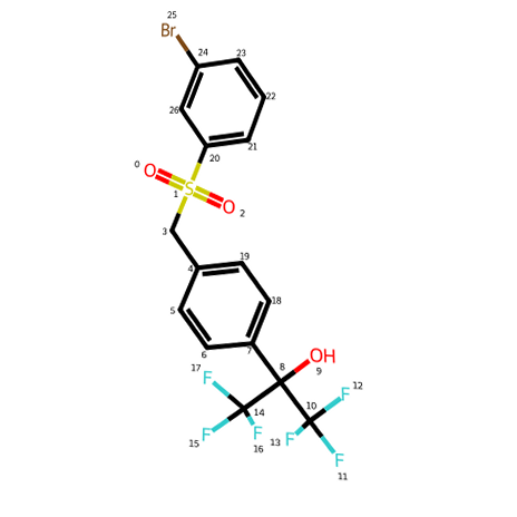 O=S(=O)(Cc1ccc(C(O)(C(F)(F)F)C(F)(F)F)cc1)c1cccc(Br)c1